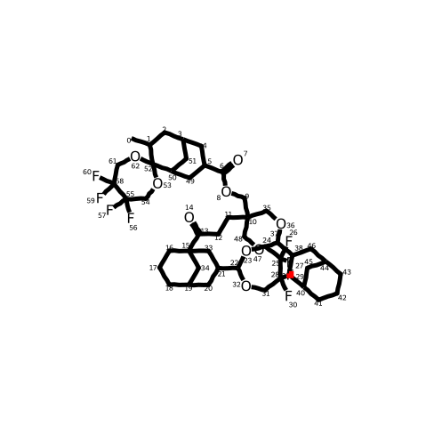 CC1CC2CC(C(=O)OCC3(CCC(=O)C45CCCC(CC(C6OCC(F)(F)C(F)(F)CO6)C4)C5)COC(C4CC5CCCC(C5)C4)OC3)CC(C2)C12OCC(F)(F)C(F)(F)CO2